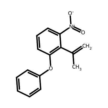 C=C(C)c1c(Oc2ccccc2)cccc1[N+](=O)[O-]